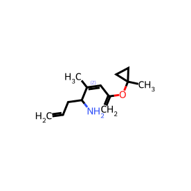 C=CCC(N)/C(C)=C\C(=C)OC1(C)CC1